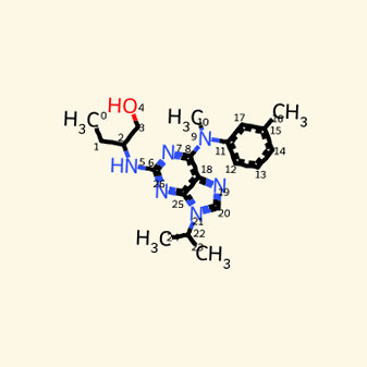 CCC(CO)Nc1nc(N(C)c2cccc(C)c2)c2ncn(C(C)C)c2n1